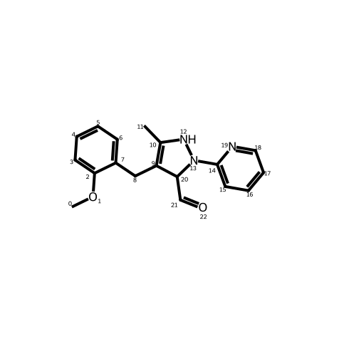 COc1ccccc1CC1=C(C)NN(c2ccccn2)C1C=O